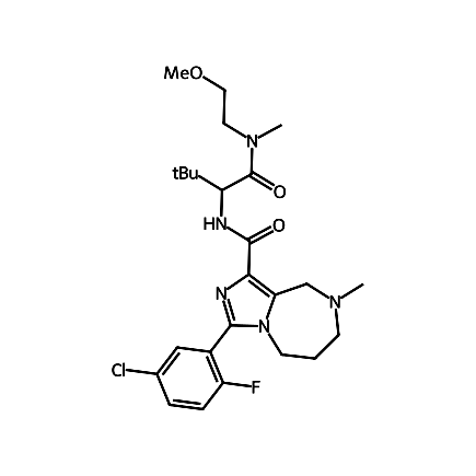 COCCN(C)C(=O)C(NC(=O)c1nc(-c2cc(Cl)ccc2F)n2c1CN(C)CCC2)C(C)(C)C